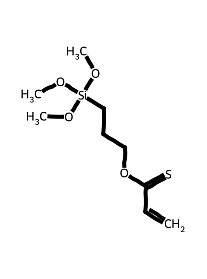 C=CC(=S)OCCC[Si](OC)(OC)OC